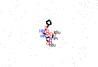 CC(C)[C@H](NC(=O)[C@H](CC(=O)OC(C)(C)C)NC(=O)[C@H](C)NC(=O)OCc1ccccc1)C(=O)OC(C)(C)C